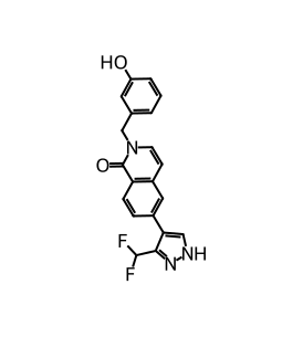 O=c1c2ccc(-c3c[nH]nc3C(F)F)cc2ccn1Cc1cccc(O)c1